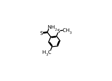 CSc1ccc(C)cc1C(N)=S